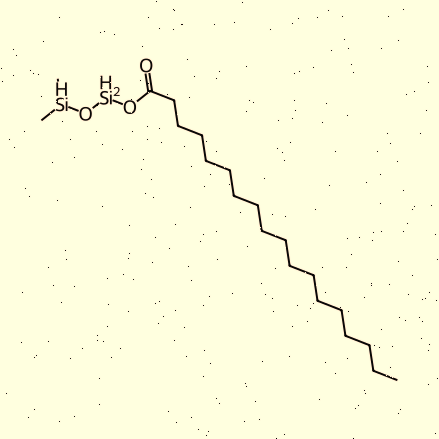 CCCCCCCCCCCCCCCCCC(=O)O[SiH2]O[SiH](C)C